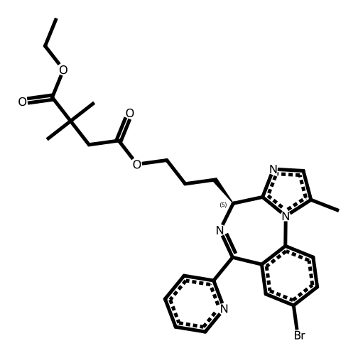 CCOC(=O)C(C)(C)CC(=O)OCCC[C@@H]1N=C(c2ccccn2)c2cc(Br)ccc2-n2c(C)cnc21